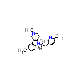 [2H]C([2H])(Cc1ccc(C)nc1)n1c2c(c3cc(C)ccc31)CN(C)CC2